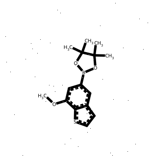 COc1cc(B2OC(C)(C)C(C)(C)O2)cc2ccsc12